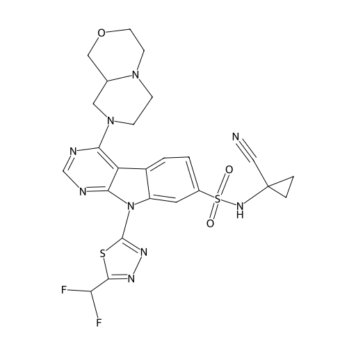 N#CC1(NS(=O)(=O)c2ccc3c4c(N5CCN6CCOCC6C5)ncnc4n(-c4nnc(C(F)F)s4)c3c2)CC1